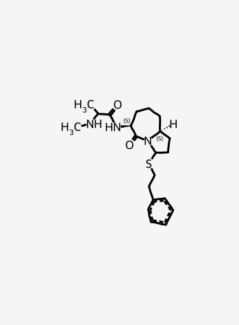 CNC(C)C(=O)N[C@H]1CCC[C@H]2CCC(SCCc3ccccc3)N2C1=O